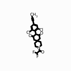 CC#Cc1cc(Cl)c(C2C(=O)CC3(CCN(C(=O)C(F)F)CC3)CC2=O)c(Cl)c1